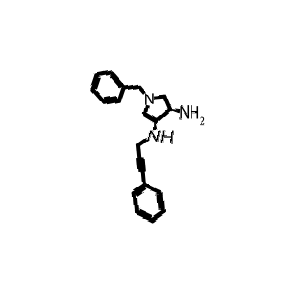 N[C@@H]1CN(Cc2ccccc2)C[C@@H]1NCC#Cc1ccccc1